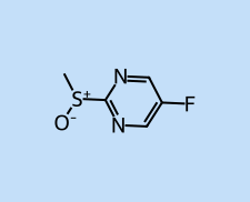 C[S+]([O-])c1ncc(F)cn1